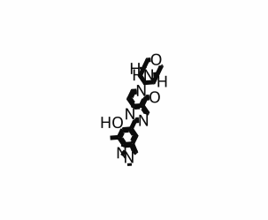 Cc1c(O)c(-c2ncc3c(=O)n([C@H]4C[C@H]5COC[C@@H](C4)N5)ccc3n2)cc2cn(C)nc12